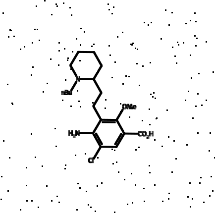 CCCCN1CCCCC1CCc1c(N)c(Cl)cc(C(=O)O)c1OC